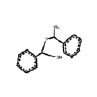 CC(C)(C)C(OC(c1ccccc1)C(C)(C)C)c1ccccc1